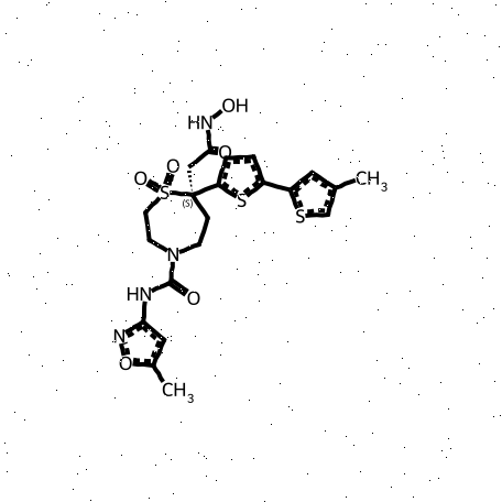 Cc1csc(-c2ccc([C@@]3(CC(=O)NO)CCN(C(=O)Nc4cc(C)on4)CCS3(=O)=O)s2)c1